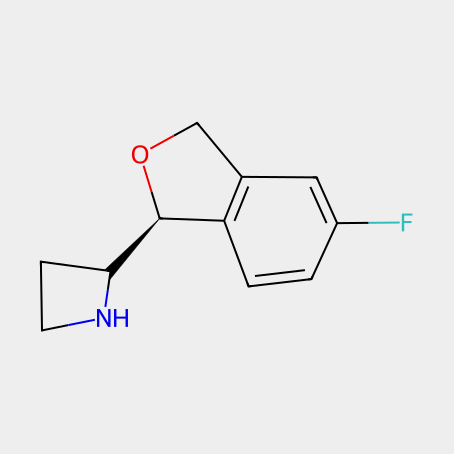 Fc1ccc2c(c1)CO[C@@H]2C1CCN1